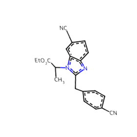 CCOC(=O)C(C)n1c(Cc2ccc(C#N)cc2)nc2ccc(C#N)cc21